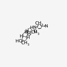 Cc1cc(C#N)ccc1NC(=O)[C@H]1CC[C@H]2[C@@H]3CC[C@@H]4C[C@](C)(O)CC[C@@H]4[C@H]3CC[C@]12C